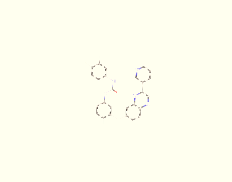 O=C(Nc1ccc(F)c(Oc2ccc3ncc(-c4cccnc4)nc3c2)c1)Nc1ccc(Cl)c(C(F)(F)F)c1